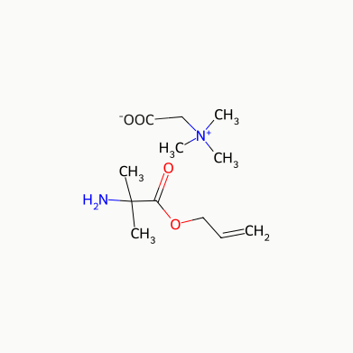 C=CCOC(=O)C(C)(C)N.C[N+](C)(C)CC(=O)[O-]